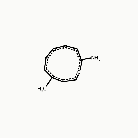 Cc1cccccc(N)ccc1